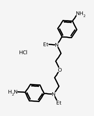 CCN(CCOCCN(CC)c1ccc(N)cc1)c1ccc(N)cc1.Cl